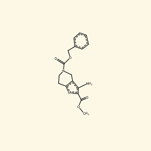 COC(=O)c1sc2c(c1N)CN(C(=O)OCc1ccccc1)CC2